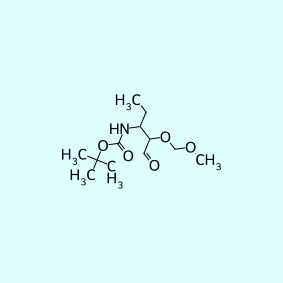 CCC(NC(=O)OC(C)(C)C)C(C=O)OCOC